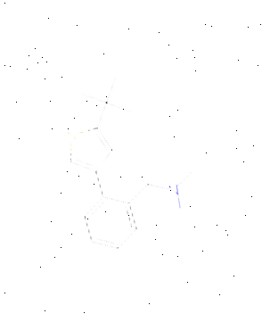 CNCc1ccccc1-c1csc(C(C)(C)C)c1